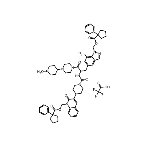 Cc1cc(CC(NC(=O)N2CCC(c3cc4ccccc4n(COC(=O)C4(c5ccccc5)CCCC4)c3=O)CC2)C(=O)N2CCN(C3CCN(C)CC3)CC2)cc2cnn(COC(=O)C3(c4ccccc4)CCCC3)c12.O=C(O)C(F)(F)F